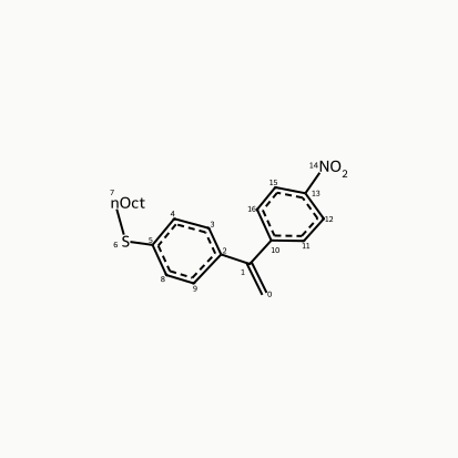 C=C(c1ccc(SCCCCCCCC)cc1)c1ccc([N+](=O)[O-])cc1